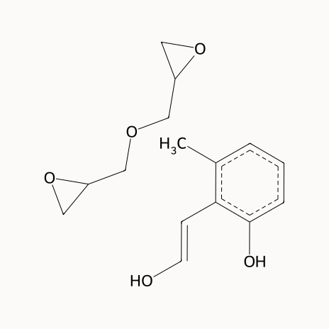 C(OCC1CO1)C1CO1.Cc1cccc(O)c1C=CO